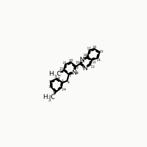 Cc1cccc(Cc2nc(-c3ncc4ccccc4n3)ccc2C)c1